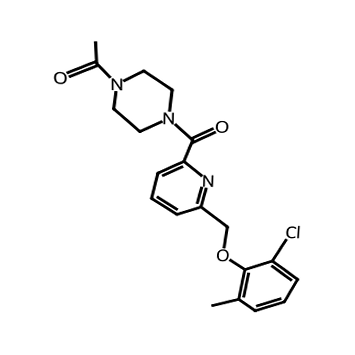 CC(=O)N1CCN(C(=O)c2cccc(COc3c(C)cccc3Cl)n2)CC1